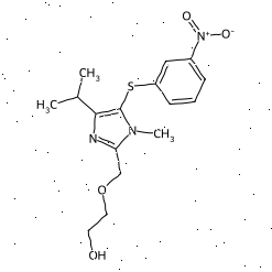 CC(C)c1nc(COCCO)n(C)c1Sc1cccc([N+](=O)[O-])c1